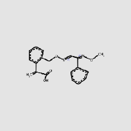 C=C(C(=O)O)c1ccccc1CO/N=C/C(=N/OC)c1ccccc1